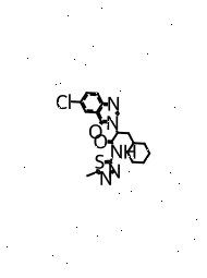 Cc1nnc(NC(=O)C(CC2CCCCC2)n2cnc3ccc(Cl)cc3c2=O)s1